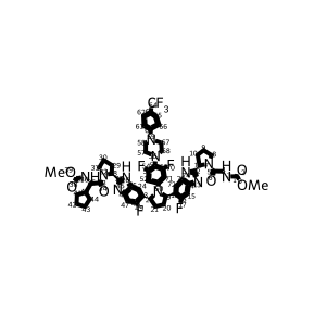 COC(=O)NCC(=O)N1CCC[C@H]1c1nc2cc(F)c([C@H]3CC[C@H](c4cc5[nH]c([C@@H]6CCCN6C(=O)C(NC(=O)OC)C6CCCC6)nc5cc4F)N3c3cc(F)c(N4CCN(c5ccc(C(F)(F)F)cc5)CC4)c(F)c3)cc2[nH]1